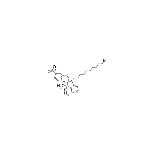 CC1(C)c2ccccc2N(CCCCCCCCCCBr)C12C=Cc1cc([N+](=O)[O-])ccc1O2